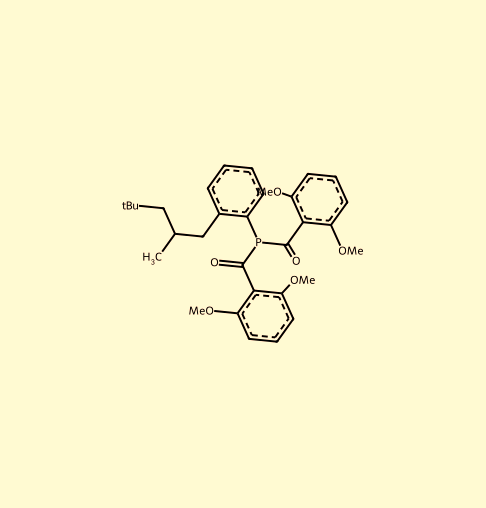 COc1cccc(OC)c1C(=O)P(C(=O)c1c(OC)cccc1OC)c1ccccc1CC(C)CC(C)(C)C